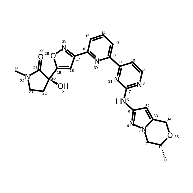 C[C@@H]1Cn2nc(Nc3nccc(-c4cccc(-c5cc([C@]6(O)CCN(C)C6=O)on5)n4)n3)cc2CO1